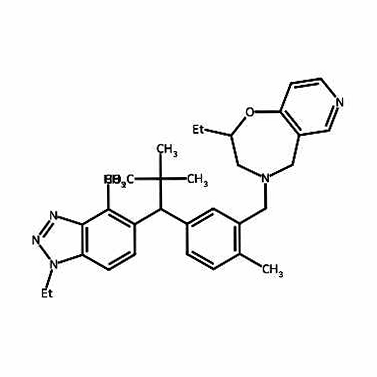 CCC1CN(Cc2cc(C(c3ccc4c(nnn4CC)c3C)C(C)(C)C(=O)O)ccc2C)Cc2cnccc2O1